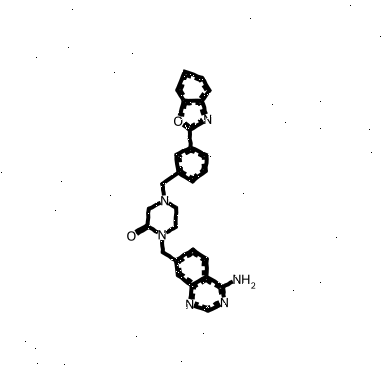 Nc1ncnc2cc(CN3CCN(Cc4cccc(-c5nc6ccccc6o5)c4)CC3=O)ccc12